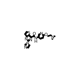 CN(C)CCOc1ccc(NC(=O)c2nc(-n3ccnc3)nc3ccsc23)cn1